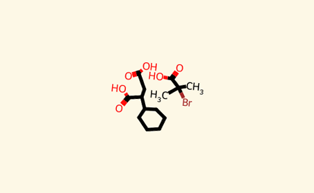 CC(C)(Br)C(=O)O.O=C(O)CC(C(=O)O)C1CCCCC1